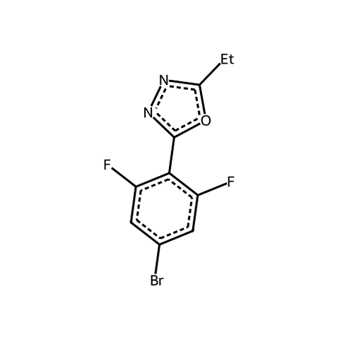 CCc1nnc(-c2c(F)cc(Br)cc2F)o1